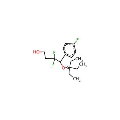 CC[Si](CC)(CC)OC(c1ccc(F)cc1)C(F)(F)CCO